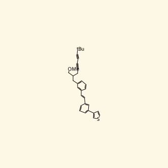 COCC(CC#CC#CC(C)(C)C)Cc1cccc(/C=C/c2cccc(-c3ccsc3)c2)c1